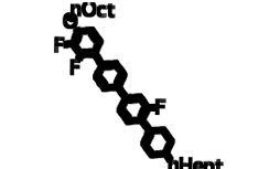 CCCCCCCCOc1ccc(-c2ccc(-c3ccc(C4=CCC(CCCCCCC)CC4)c(F)c3)cc2)c(F)c1F